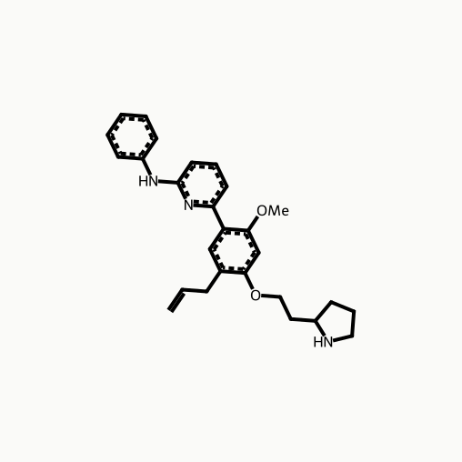 C=CCc1cc(-c2cccc(Nc3ccccc3)n2)c(OC)cc1OCCC1CCCN1